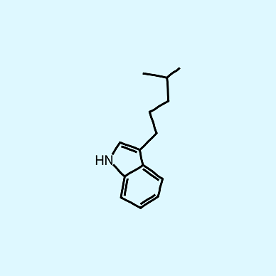 CC(C)CCCc1c[nH]c2ccccc12